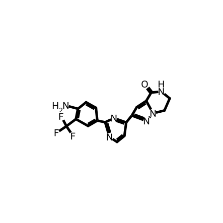 Nc1ccc(-c2nccc(-c3cc4n(n3)CCNC4=O)n2)cc1C(F)(F)F